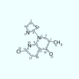 Cc1cn(-c2nccs2)c2nc(Cl)ccc2c1=O